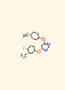 N#Cc1ccc(Oc2cc(Oc3ccc(F)c(C(F)(F)F)c3)ncn2)cc1